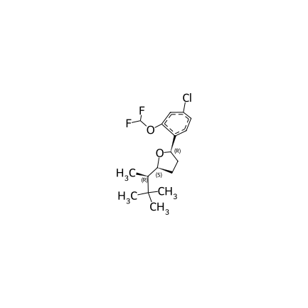 C[C@@H]([C@@H]1CC[C@H](c2ccc(Cl)cc2OC(F)F)O1)C(C)(C)C